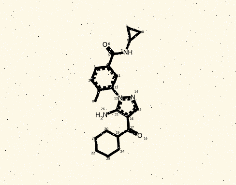 Cc1ccc(C(=O)NC2CC2)cc1-n1ncc(C(=O)C2CCCCC2)c1N